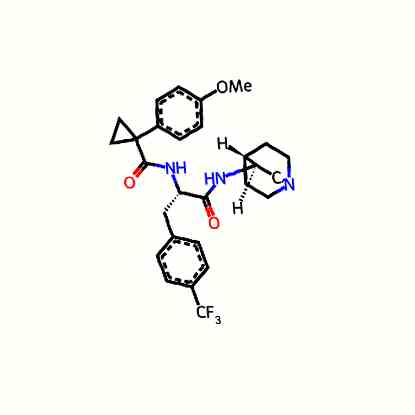 COc1ccc(C2(C(=O)N[C@@H](Cc3ccc(C(F)(F)F)cc3)C(=O)N[C@@H]3C[N@]4CC[C@H]3CC4)CC2)cc1